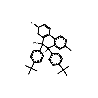 CC(C)(C)c1ccc(C2(O)C3=C(C=CC(Br)C3)c3ccc(Br)cc3C2(O)c2ccc(C(C)(C)C)cc2)cc1